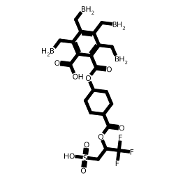 BCc1c(CB)c(CB)c(C(=O)OC2CCC(C(=O)OC(CS(=O)(=O)O)C(F)(F)F)CC2)c(C(=O)O)c1CB